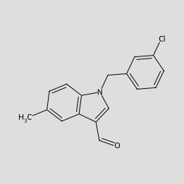 Cc1ccc2c(c1)c(C=O)cn2Cc1cccc(Cl)c1